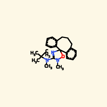 CN1OC2(N=C1N(C)C(C)(C)C)c1ccccc1CCCc1ccccc12